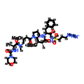 CC[C@H](C)[C@@H]([C@@H](CC(=O)N1CCC[C@H]1[C@H](OC)[C@@H](C)C(=O)N[C@@H](Cc1ccccc1)C(=O)NS(=O)(=O)CCCN=[N+]=[N-])OC)N(C)C(=O)[C@@H](NC(=O)N1CCOCC1)C(C)C